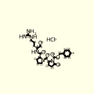 Cl.N=C(N)NCCC[C@@H](C=O)NC(=O)[C@@H]1CCCN1C(=O)[C@H]1CCC(=O)N1C(=O)OCc1ccccc1